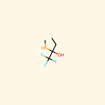 CCC(O)(PC)C(F)(F)F